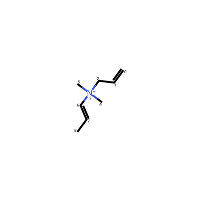 C=CC[N+](C)(C)C=CC